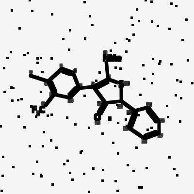 CNC1=C(c2ccc(C)c(C(F)(F)F)c2)C(=O)C(c2ccccc2)S1